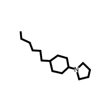 CCCCCCC1CCC(N2CCCC2)CC1